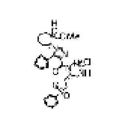 COC[C@]1(O)CCCC[C@H]1n1cnc(C(=O)N2CCNC[C@H]2CCS(=O)(=O)c2ccccc2)c1-c1ccccc1.Cl.Cl